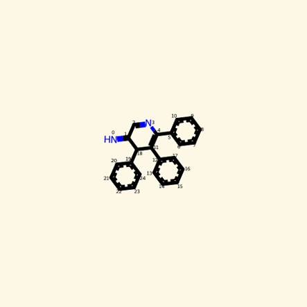 N=C1C=NC(c2ccccc2)=C(c2ccccc2)C1c1ccccc1